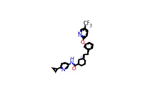 O=C(Nc1ccc(C2CC2)nc1)C1CCC/C(=C\Cc2cccc(Oc3ccc(C(F)(F)F)cn3)c2)C1